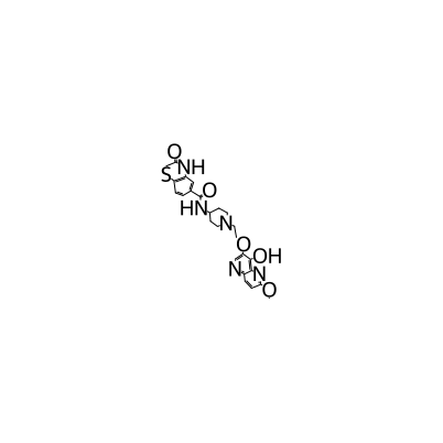 COc1ccc2ncc(OCCN3CCC(NC(=O)c4ccc5c(c4)NC(=O)CS5)CC3)c(O)c2n1